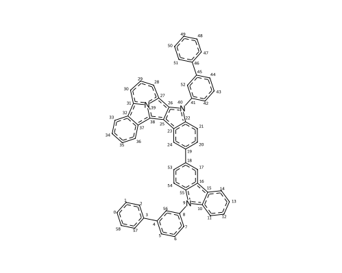 c1ccc(-c2cccc(-n3c4ccccc4c4cc(-c5ccc6c(c5)c5c(c7cccc8c9ccccc9c5n87)n6-c5cccc(-c6ccccc6)c5)ccc43)c2)cc1